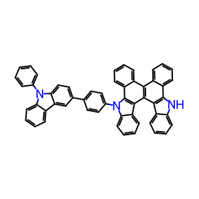 c1ccc(-n2c3ccccc3c3cc(-c4ccc(-n5c6ccccc6c6c7c(c8ccccc8c8[nH]c9ccccc9c87)c7ccccc7c65)cc4)ccc32)cc1